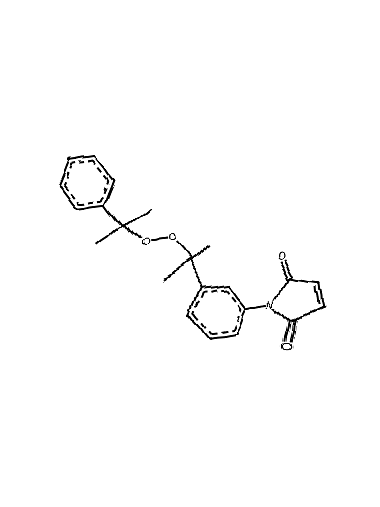 CC(C)(OOC(C)(C)c1cccc(N2C(=O)C=CC2=O)c1)c1ccccc1